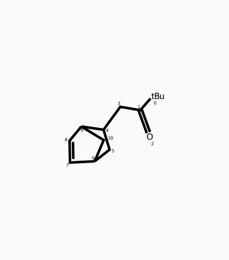 CC(C)(C)C(=O)CC1CC2C=CC1C2